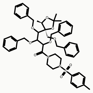 Cc1ccc(S(=O)(=O)N2CCN(C(=O)C(OCc3ccccc3)C(OCc3ccccc3)C(OCc3ccccc3)[C@]3(COCc4ccccc4)OC(C)(C)O[C@@H]3C)CC2)cc1